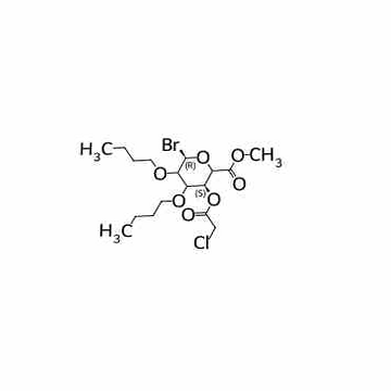 CCCCOC1C(OCCCC)[C@@H](Br)OC(C(=O)OC)[C@H]1OC(=O)CCl